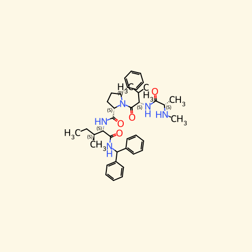 CC[C@H](C)[C@H](NC(=O)[C@@H]1CC[C@H](c2ccccc2)N1C(=O)[C@@H](NC(=O)[C@H](C)NC)C(C)C)C(=O)NC(c1ccccc1)c1ccccc1